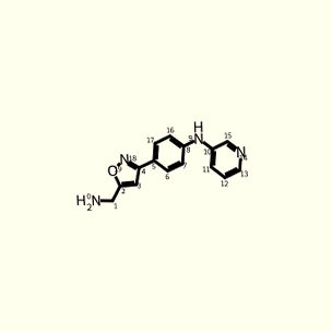 NCc1cc(-c2ccc(Nc3cccnc3)cc2)no1